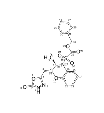 C[C@@H]1[C@H](Cc2n[nH]c(=O)o2)Oc2ccccc2N1S(=O)(=O)C(=O)OCc1ccccc1